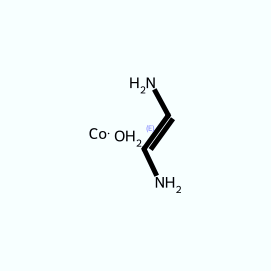 N/C=C/N.O.[Co]